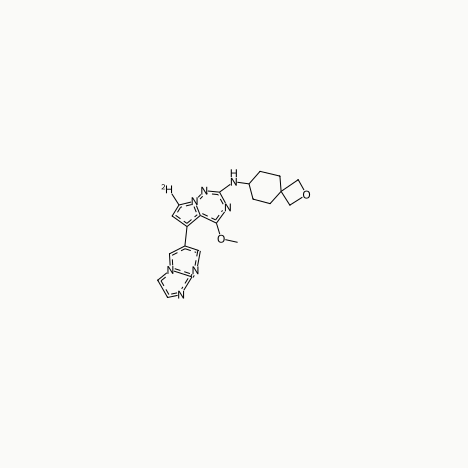 [2H]c1cc(-c2cnc3nccn3c2)c2c(OC)nc(NC3CCC4(CC3)COC4)nn12